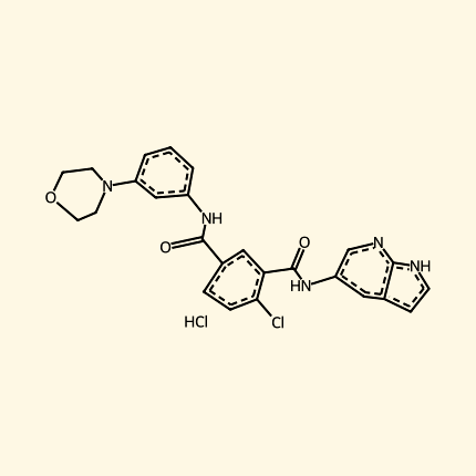 Cl.O=C(Nc1cccc(N2CCOCC2)c1)c1ccc(Cl)c(C(=O)Nc2cnc3[nH]ccc3c2)c1